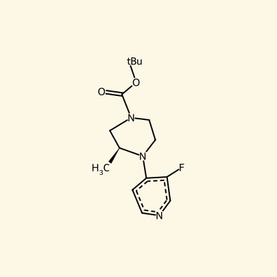 C[C@H]1CN(C(=O)OC(C)(C)C)CCN1c1ccncc1F